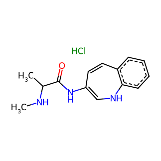 CNC(C)C(=O)NC1=CNc2ccccc2C=C1.Cl